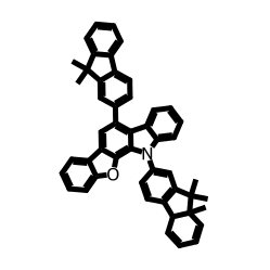 CC1(C)c2ccccc2-c2ccc(-c3cc4c5ccccc5oc4c4c3c3ccccc3n4-c3ccc4c(c3)C(C)(C)C3(C)C=CC=CC43)cc21